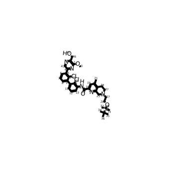 COc1nc(-c2cccc(-c3cccc(NC(=O)c4cc(C)c5c(n4)CN(CCO[Si](C)(C)C(C)(C)C)CC5)c3Cl)c2Cl)cnc1CO